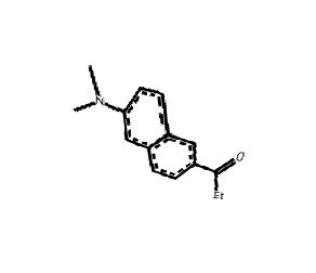 CCC(=O)c1ccc2cc(N(C)C)ccc2c1